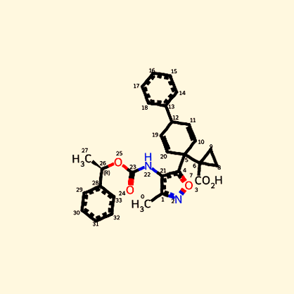 Cc1noc(C2(C3(C(=O)O)CC3)C=CC(c3ccccc3)C=C2)c1NC(=O)O[C@H](C)c1ccccc1